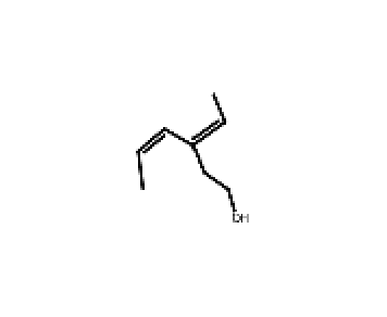 C/C=C\C(=C/C)CCO